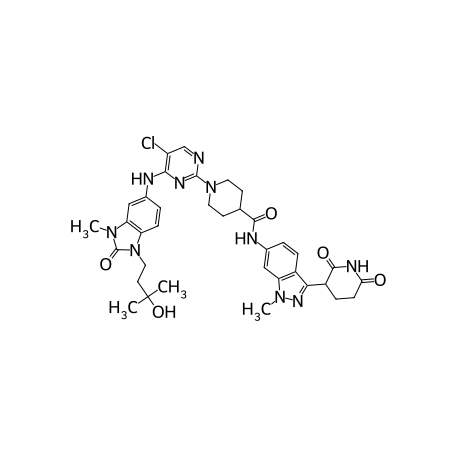 Cn1nc(C2CCC(=O)NC2=O)c2ccc(NC(=O)C3CCN(c4ncc(Cl)c(Nc5ccc6c(c5)n(C)c(=O)n6CCC(C)(C)O)n4)CC3)cc21